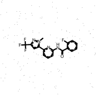 Cn1nc(C(F)(F)F)cc1-c1cccc(NC(=O)c2ccccc2F)n1